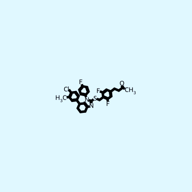 CC(=O)CCc1cc(F)c(CSc2nc3c(n2-c2ccc(F)cc2)C(c2ccc(Cl)c(C)c2)CCC3)c(F)c1